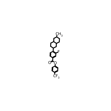 CC1CCC2CC(c3ccc(C(=O)Oc4ccc(C(F)(F)F)cc4)cc3F)CCC2C1